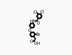 O=C(O)Cc1ccc(Oc2ccc(NC(=O)c3ccc(Cl)c(Cl)c3)cc2)cc1Br